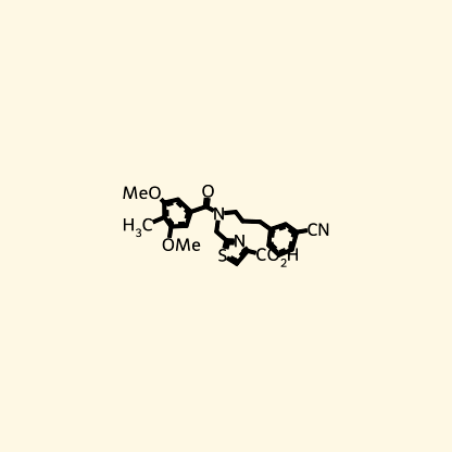 COc1cc(C(=O)N(CCCc2cccc(C#N)c2)Cc2nc(C(=O)O)cs2)cc(OC)c1C